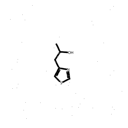 CC(O)Cc1cscn1